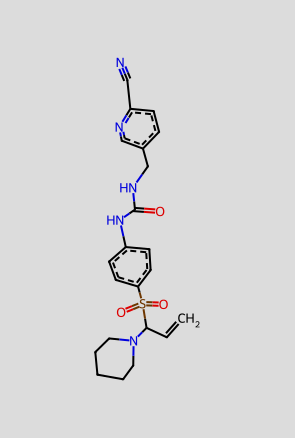 C=CC(N1CCCCC1)S(=O)(=O)c1ccc(NC(=O)NCc2ccc(C#N)nc2)cc1